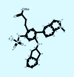 COC(=O)CCc1cc(-c2ccc3c(cnn3C)c2)c(OC2Cc3ccccc3C2)cc1OS(=O)(=O)C(F)(F)F